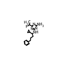 CC(F)c1nc(N)nc(NC(CCCc2ccccc2)C2CC2)n1